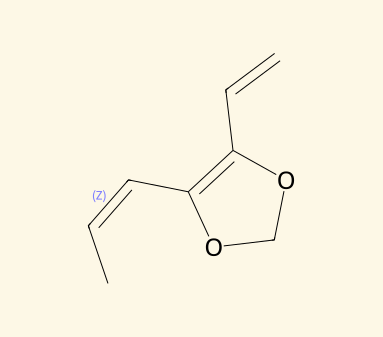 C=CC1=C(/C=C\C)OCO1